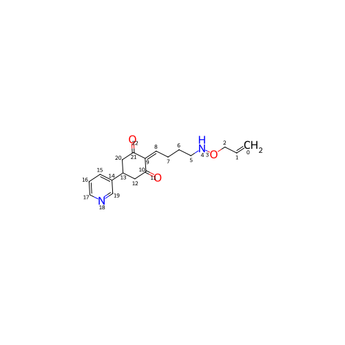 C=CCONCCCC=C1C(=O)CC(c2cccnc2)CC1=O